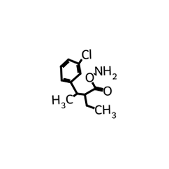 CCC(C(=O)ON)C(C)c1cccc(Cl)c1